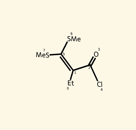 CCC(C(=O)Cl)=C(SC)SC